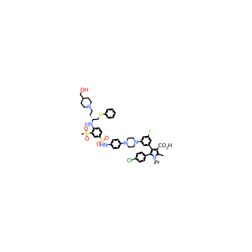 Cc1c(C(=O)O)c(-c2cc(F)cc(N3CCN(c4ccc(NS(=O)(=O)c5ccc(N[C@H](CCN6CCC(CO)CC6)CSc6ccccc6)c(S(C)(=O)=O)c5)cc4)CC3)c2)c(-c2ccc(Cl)cc2)n1C(C)C